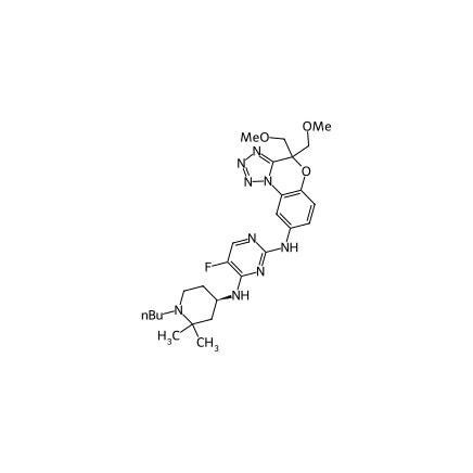 CCCCN1CC[C@@H](Nc2nc(Nc3ccc4c(c3)-n3nnnc3C(COC)(COC)O4)ncc2F)CC1(C)C